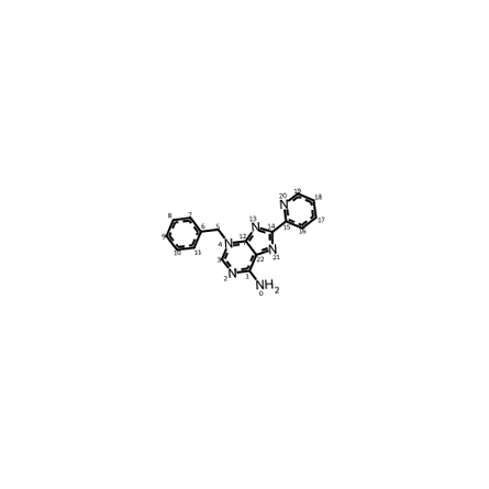 Nc1ncn(Cc2ccccc2)c2nc(-c3ccccn3)nc1-2